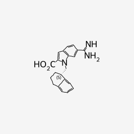 N=C(N)c1ccc2cc(C(=O)O)n(C[C@H]3CCCc4ccccc43)c2c1